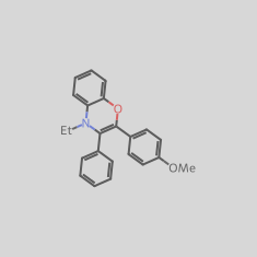 CCN1C(c2ccccc2)=C(c2ccc(OC)cc2)Oc2ccccc21